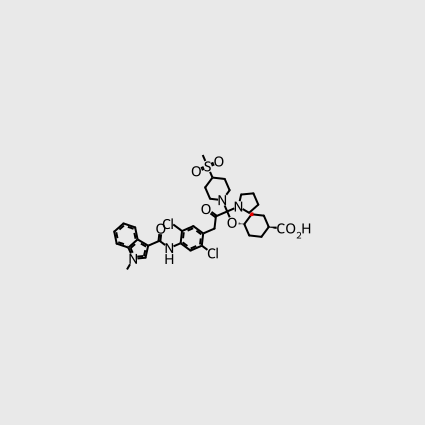 Cn1cc(C(=O)Nc2cc(Cl)c(CC(=O)C(O[C@H]3CC[C@H](C(=O)O)CC3)(N3CCCC3)N3CCC(S(C)(=O)=O)CC3)cc2Cl)c2ccccc21